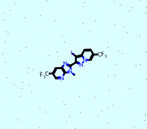 Cn1c(-c2nn3cc(C(F)(F)F)ccc3c2I)nc2cc(C(F)(F)F)cnc21